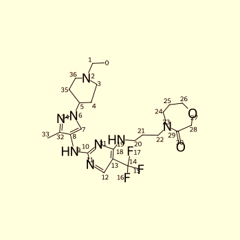 CCN1CCC(n2cc(Nc3ncc(C(F)(F)F)c(NCCCN4CCCOCC4=O)n3)c(C)n2)CC1